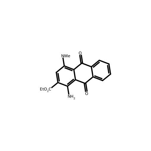 CCOC(=O)c1cc(NC)c2c(c1N)C(=O)c1ccccc1C2=O